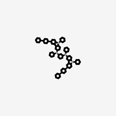 c1ccc(-c2ccc(-c3ccc4c(c3)c3cc(N(c5ccccc5)c5cccc(N(c6ccccc6)c6ccc7c(c6)c6cc(-c8ccc(-c9ccccc9)cc8)ccc6n7-c6ccccc6)c5)ccc3n4-c3ccccc3)cc2)cc1